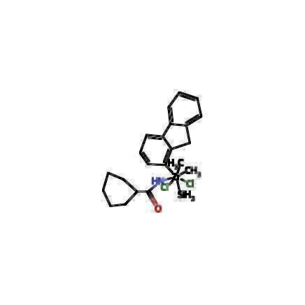 [CH3][Zr]([CH3])([SiH3])([Cl])([Cl])([NH]C(=O)C1CCCCC1)[c]1cccc2c1Cc1ccccc1-2